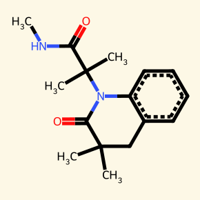 CNC(=O)C(C)(C)N1C(=O)C(C)(C)Cc2ccccc21